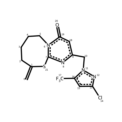 C=C1CCCCn2c(nc(Cn3nc(Cl)cc3C(F)(F)F)cc2=O)S1